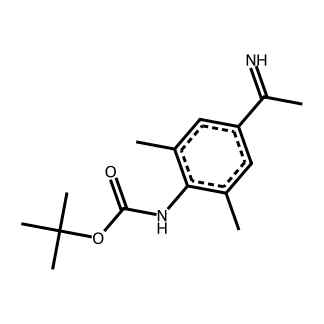 CC(=N)c1cc(C)c(NC(=O)OC(C)(C)C)c(C)c1